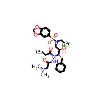 CC(C)CN(C[C@@H](O)[C@H](Cc1ccccc1)N(NC(=O)CN(C)C)C(=O)CC(C)(C)C)S(=O)(=O)c1ccc2c(c1)OCO2.Cl